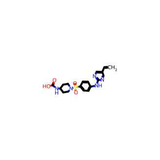 C=Cc1cnc(Nc2ccc(S(=O)(=O)N3CCC(NC(=O)O)CC3)cc2)nc1